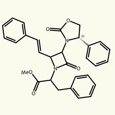 COC(=O)C(Cc1ccccc1)N1C(=O)C(N2C(=O)OC[C@@H]2c2ccccc2)C1C=Cc1ccccc1